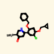 CCOC(=O)c1c[nH]c(-c2cc(Cl)c(OCC3CC3)cc2OCc2ccccc2)cc1=O